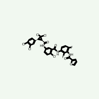 O=C(Nc1c(F)ccc(NC(=O)c2cc(NC(=O)[C@H]3[C@H](c4ccc(Cl)c(Cl)c4)C3(Cl)Cl)ccc2Cl)c1F)c1ccco1